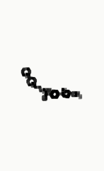 Cc1ccc(-c2ccc(C(=O)NCCCN3CCC(N4CCCCC4)CC3)cc2)nc1